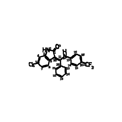 O=C1Nc2cc(Cl)ccc2/C1=C(/Nc1ccc(C(F)(F)F)cc1)c1ccccc1